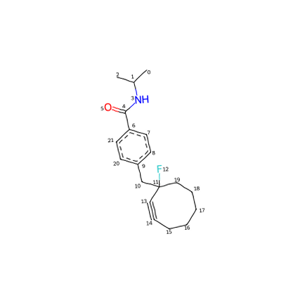 CC(C)NC(=O)c1ccc(CC2(F)C#CCCCCC2)cc1